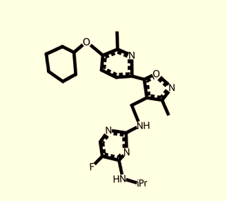 Cc1nc(-c2onc(C)c2CNc2ncc(F)c(NC(C)C)n2)ccc1OC1CCCCC1